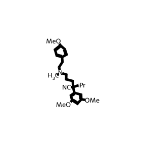 COc1ccc(CCN(C)CCCC(C#N)(c2cc(OC)cc(OC)c2)C(C)C)cc1